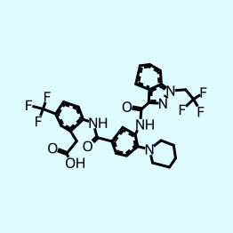 O=C(O)Cc1cc(C(F)(F)F)ccc1NC(=O)c1ccc(N2CCCCC2)c(NC(=O)c2nn(CC(F)(F)F)c3ccccc23)c1